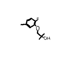 Cc1ccc(F)c(OCC(C)(C)O)c1